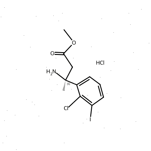 COC(=O)C[C@](C)(N)c1cccc(I)c1Cl.Cl